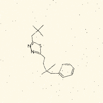 CC(C)(C)Cc1nnc(CCC(C)(C)Cc2ccccc2)s1